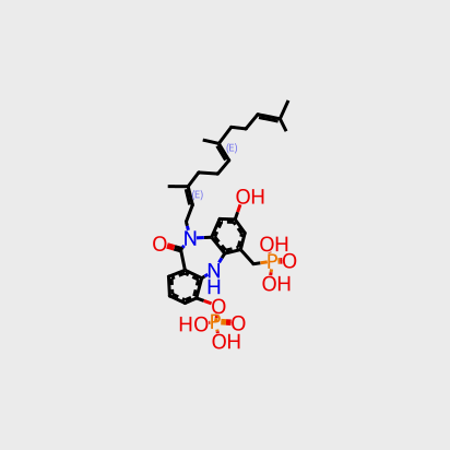 CC(C)=CCC/C(C)=C/CC/C(C)=C/CN1C(=O)c2cccc(OP(=O)(O)O)c2Nc2c(CP(=O)(O)O)cc(O)cc21